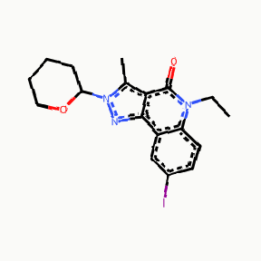 CCn1c(=O)c2c(C)n(C3CCCCO3)nc2c2cc(I)ccc21